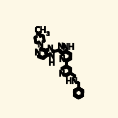 CN1CCN(c2nccc3[nH]c(-c4n[nH]c5ccc(-c6cncc(CNCc7ccccc7)c6)nc45)nc23)CC1